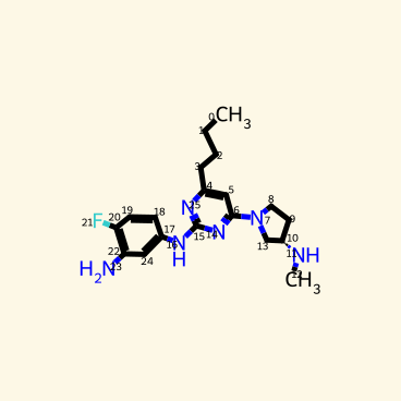 CCCCc1cc(N2CC[C@H](NC)C2)nc(Nc2ccc(F)c(N)c2)n1